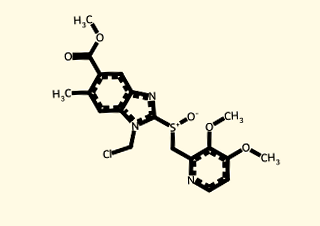 COC(=O)c1cc2nc([S+]([O-])Cc3nccc(OC)c3OC)n(CCl)c2cc1C